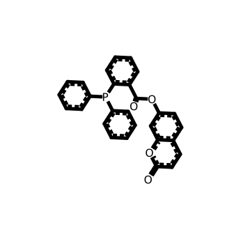 O=C(Oc1ccc2ccc(=O)oc2c1)c1ccccc1P(c1ccccc1)c1ccccc1